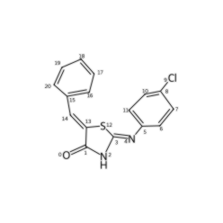 O=C1NC(=Nc2ccc(Cl)cc2)SC1=Cc1ccccc1